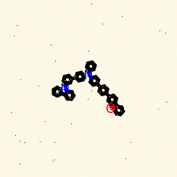 c1ccc(N(c2ccc(-c3ccc(-c4ccc5c(c4)oc4ccccc45)cc3)cc2)c2ccc(-c3cccc(-n4c5ccccc5c5ccccc54)c3)cc2)cc1